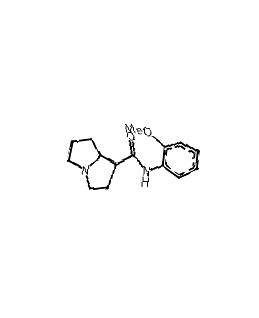 COc1ccccc1NC(=O)C1CCN2CCCC12